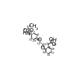 CCS(=O)(=O)Nc1ccc(OCCOc2ccccc2CC(=O)O)cc1